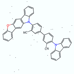 N#Cc1cc(-c2ccc(-n3c4ccccc4c4cc5oc6ccccc6c5cc43)c(C#N)c2)ccc1-n1c2ccccc2c2ccccc21